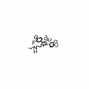 CCCNCCN1C[C@H](c2ccc3c(c2)OCO3)[C@@H](C(=O)OCC)[C@@H]1c1ccc(OC)c(F)c1